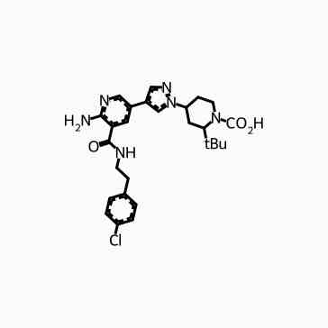 CC(C)(C)C1CC(n2cc(-c3cnc(N)c(C(=O)NCCc4ccc(Cl)cc4)c3)cn2)CCN1C(=O)O